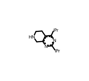 CC(C)c1nc2c(c(C(C)C)n1)CCNC2